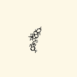 C[C@H]1CC[C@@H]2C3CC[C@@]4(C)C([C@@H]3CC[C@]2(C)C1)[C@@H]1[C@H](C)[C@@H]1[C@@H]4C(=O)Cn1nc2ccc(F)cc2n1